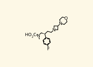 CN(C[C@@H](CCN1CC(N2CCOCC2)C1)c1ccc(F)cc1)C(=O)O